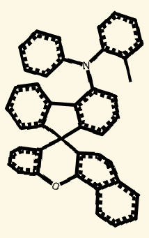 Cc1ccccc1N(c1ccccc1)c1cccc2c1-c1ccccc1C21c2ccccc2Oc2c1ccc1ccccc21